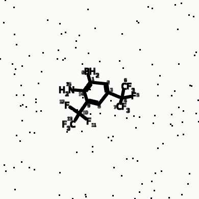 Bc1cc(C(F)(C(F)(F)F)C(F)(F)F)cc(C(F)(F)C(F)(F)F)c1N